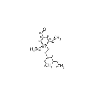 CCCCC(CC)CCc1c(OC)cc(C=O)cc1OC